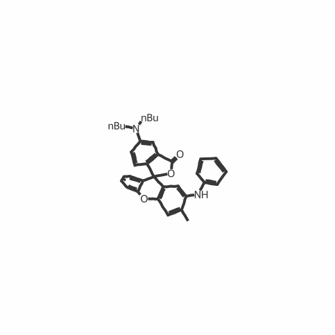 CCCCN(CCCC)c1ccc2c(c1)C(=O)OC21c2ccccc2Oc2cc(C)c(Nc3ccccc3)cc21